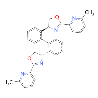 Cc1cccc(C2=N[C@@H](c3ccccc3-c3ccccc3[C@H]3COC(c4cccc(C)n4)=N3)CO2)n1